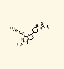 COCCOc1nc(N)nc2ccc(-c3ccc(NS(C)(=O)=O)cc3)nc12